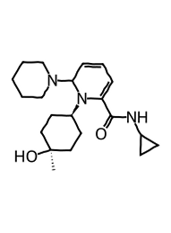 C[C@]1(O)CC[C@@H](N2C(C(=O)NC3CC3)=CC=CC2N2CCCCC2)CC1